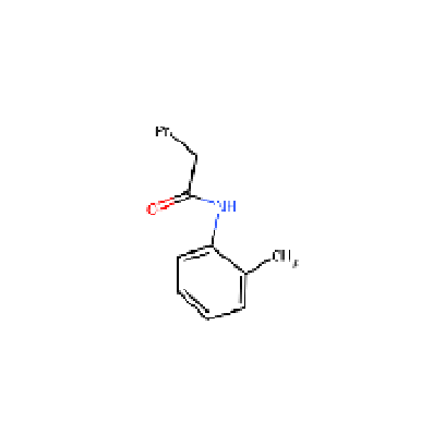 Cc1ccccc1NC(=O)CC(C)C